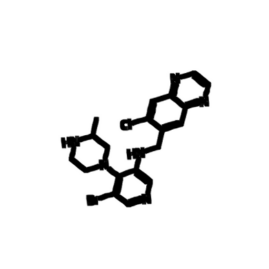 CC1CN(c2c(Br)cncc2NCc2cc3nccnc3cc2Cl)CCN1